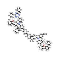 CC(C)(C)c1ccc2c(c1)C13CCC(CC1)c1c(-c4cccc5c4oc4c(-c6ccccc6)cccc45)ccc(c13)N2c1ccc2c(c1)C(C)(C)c1ccc(-c3ccc(-c4ccc5c6c4C4CCC6(c6ccccc64)c4cc6c(cc4N5c4cccc(-c5nc(-c7ccccc7)nc(-c7ccccc7)n5)c4)oc4ccccc46)cc3)cc1-2